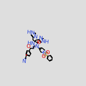 N#Cc1ccc(C(=O)/C=C2\NC(Cc3c[nH]cn3)(Cc3c[nH]cn3)C(=O)N2C2C3CN(S(=O)(=O)c4ccccc4)CC32)cc1